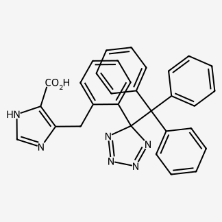 O=C(O)c1[nH]cnc1Cc1ccccc1C1(C(c2ccccc2)(c2ccccc2)c2ccccc2)N=NN=N1